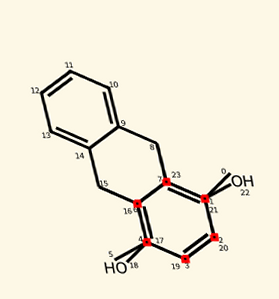 Cc1ccc(C)c2c1C1c3ccccc3C2c2c(O)ccc(O)c21